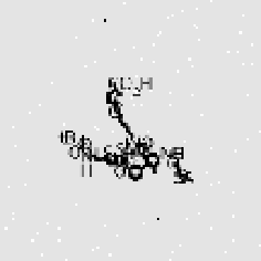 CSc1sc(C=NNC(=O)OC(C)(C)C)cc1S(=O)(=O)c1cccc(-c2c(C)cc(NC(=O)OCC[Si](C)(C)C)cc2NC(=O)NCCCCCOc2ccc(C(=O)O)cc2)c1